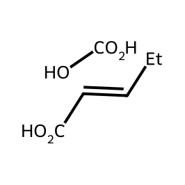 CCC=CC(=O)O.O=C(O)O